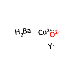 [BaH2].[Cu+2].[O-2].[Y]